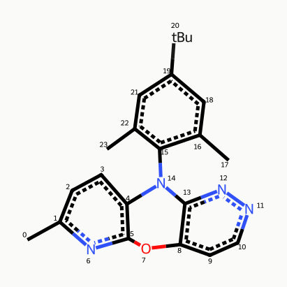 Cc1ccc2c(n1)Oc1ccnnc1N2c1c(C)cc(C(C)(C)C)cc1C